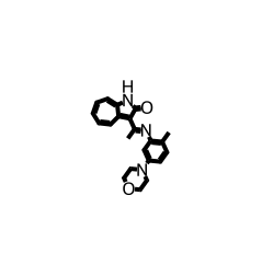 C/C(=N\c1cc(N2CCOCC2)ccc1C)c1c2cccccc-2[nH]c1=O